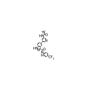 CN(C)C(=O)Nc1cncc(-c2ccc3[nH]nc(C(=O)Nc4ccc(C(F)(F)F)cc4)c3c2)c1